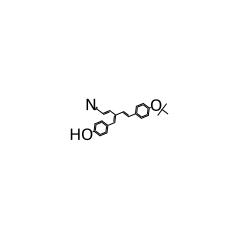 CC(C)(C)Oc1ccc(C=CC(C=CC#N)=Cc2ccc(O)cc2)cc1